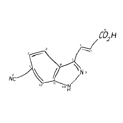 N#Cc1ccc2c(C=CC(=O)O)n[nH]c2c1